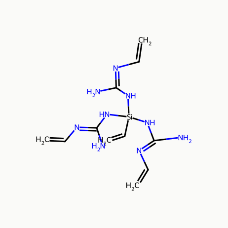 C=CN=C(N)N[Si](C=C)(NC(N)=NC=C)NC(N)=NC=C